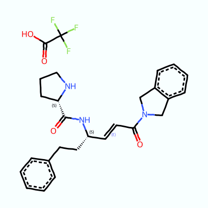 O=C(N[C@H](/C=C/C(=O)N1Cc2ccccc2C1)CCc1ccccc1)[C@@H]1CCCN1.O=C(O)C(F)(F)F